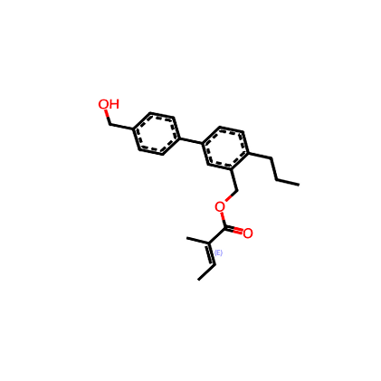 C/C=C(\C)C(=O)OCc1cc(-c2ccc(CO)cc2)ccc1CCC